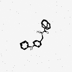 O=C(N(O)Cc1ccc(Nc2ccccc2)cc1)C12CC3CC(CC(C3)C1)C2